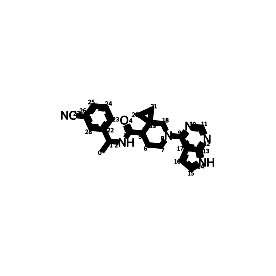 CC(NC(=O)C1CCN(c2ncnc3[nH]ccc23)CC12CC2)c1cccc(C#N)c1